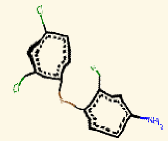 Nc1ccc(Sc2ccc(Cl)cc2Cl)c(F)c1